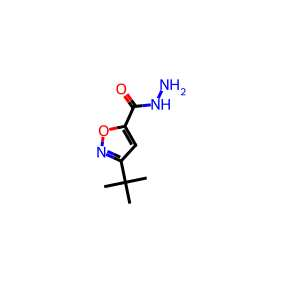 CC(C)(C)c1cc(C(=O)NN)on1